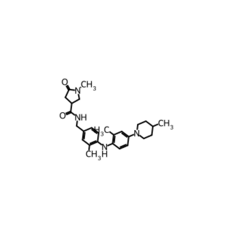 Cc1cc(CNC(=O)C2CC(=O)N(C)C2)ccc1Nc1ccc(N2CCC(C)CC2)cc1C